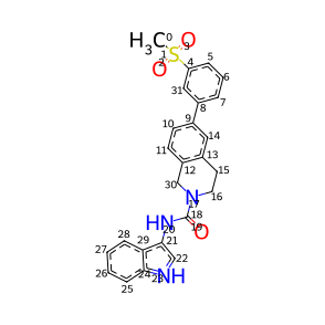 CS(=O)(=O)c1cccc(-c2ccc3c(c2)CCN(C(=O)Nc2c[nH]c4ccccc24)C3)c1